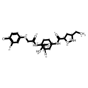 CCC1CC(C(=O)NC23CCC(NC(=O)COc4ccc(Cl)c(F)c4)(CC2)[C@@H](O)C3)ON1